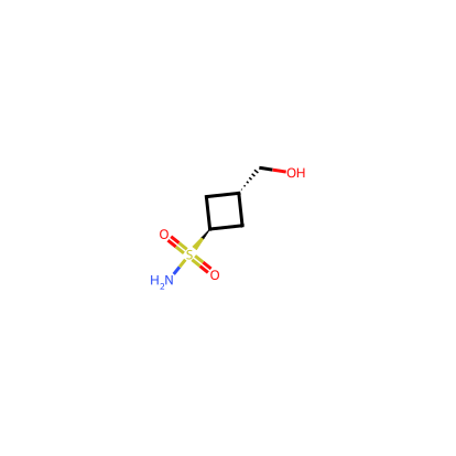 NS(=O)(=O)[C@H]1C[C@H](CO)C1